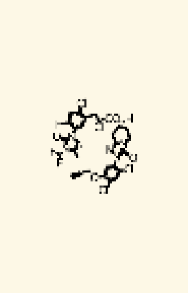 C#CCOc1cc(-n2nc3n(c2=O)CCCC3)c(Cl)cc1Cl.Cc1nn(-c2cc(CC(Cl)C(=O)O)c(Cl)cc2F)c(=O)n1C(F)F